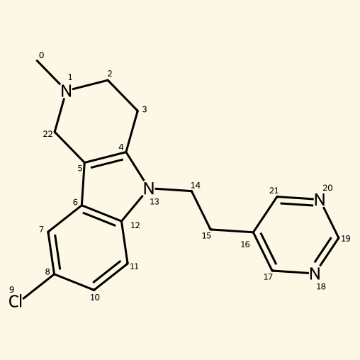 CN1CCc2c(c3cc(Cl)ccc3n2CCc2cncnc2)C1